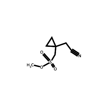 COS(=O)(=O)CC1(CC#N)CC1